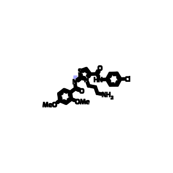 COc1ccc(C(=O)/N=c2/scc(C(=O)Nc3ccc(Cl)cc3)n2CCCN)c(OC)c1